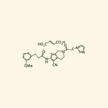 COc1cccc(CCC(=O)Nc2sc3c(c2C#N)CCN(C(=O)CCn2ccnc2)C3)c1.O=C(O)C=CC(=O)O